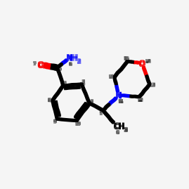 CC(c1[c]c(C(N)=O)ccc1)N1CCOCC1